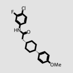 COc1ccc([C@H]2CC[C@@H](CC(=O)Nc3ccc(Cl)c(F)c3)CC2)cc1